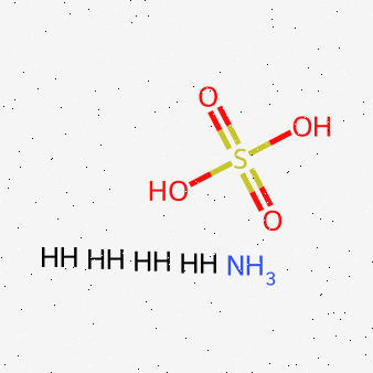 N.O=S(=O)(O)O.[HH].[HH].[HH].[HH]